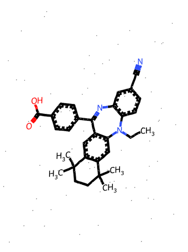 CCN1c2ccc(C#N)cc2N=C(c2ccc(C(=O)O)cc2)c2cc3c(cc21)C(C)(C)CCC3(C)C